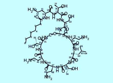 CCCCCCCC(=O)N[C@@H](CCN)C(=O)N[C@H](C(=O)NC(CO)C(=O)N[C@H]1CCNC(=O)[C@H]([C@@H](C)O)NC(=O)[C@H](CCN)NC(=O)[C@H](CCN)NC(=O)[C@H]([C@@H](C)O)NC(=O)[C@@H](CC(C)C)NC(=O)[C@H](CCN)NC1=O)[C@@H](C)O